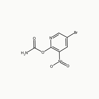 NC(=O)Oc1ncc(Br)cc1[N+](=O)[O-]